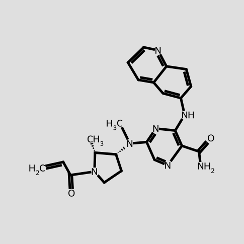 C=CC(=O)N1CC[C@@H](N(C)c2cnc(C(N)=O)c(Nc3ccc4ncccc4c3)n2)[C@H]1C